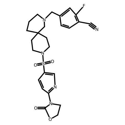 N#Cc1ccc(CN2CCCC3(CCN(S(=O)(=O)c4ccc(N5CCOC5=O)nc4)CC3)C2)cc1F